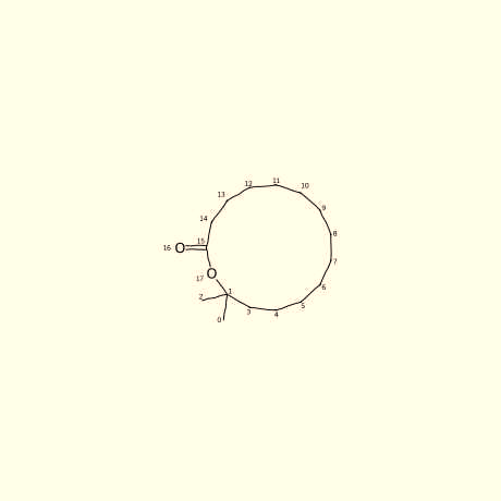 CC1(C)CCCCCCCCCCCCC(=O)O1